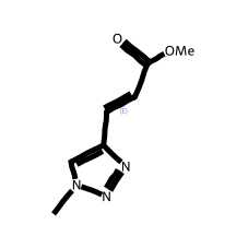 COC(=O)/C=C/c1cn(C)nn1